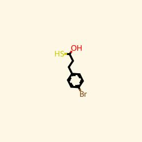 OC(S)CCc1ccc(Br)cc1